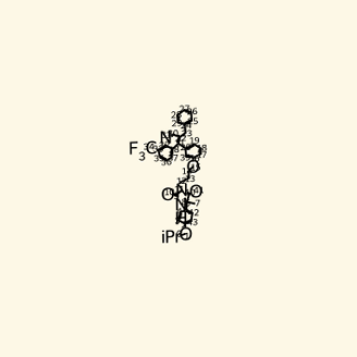 CC(C)Oc1ccc(C2(C)NC(=O)N(CCCOc3cccc(-c4c(Cc5ccccc5)cnc5c(C(F)(F)F)cccc45)c3)C2=O)cc1